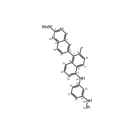 CNc1ncc2cc(-c3c(C)ccc4c(Nc5cccc(NC(C)C)c5)nccc34)ccc2n1